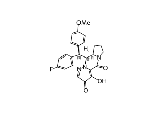 COc1ccc([C@H](c2ccc(F)cc2)[C@H]2[C@H]3CCCN3C(=O)c3c(O)c(=O)cnn32)cc1